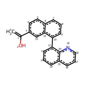 C=C(O)c1ccc2cccc(-c3cccc4cccnc34)c2c1